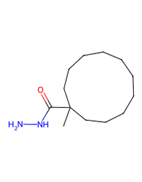 CC1(C(=O)NN)CCCCCCCCCC1